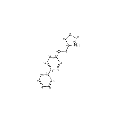 c1ccc(-c2ccc(OCC3CCCN3)cc2)cc1